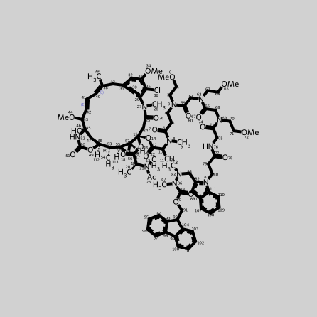 COCCN(CCC(=O)N(C)C(C)C(=O)O[C@]1(OC(=O)[C@H](C)N(C)C(C)=O)CC(=O)N(C)c2cc(cc(OC)c2Cl)C/C(C)=C/C=C/C(OC)[C@@]2(O)C[C@H](OC(=O)N2)[C@@H](C)[C@@H]2O[C@]21C)C(=O)CN(CCOC)C(=O)CN(CCOC)C(=O)CNC(=O)CCn1c(CN(C)N(C)C(=O)OCC2c3ccccc3-c3ccccc32)cc2ccccc21